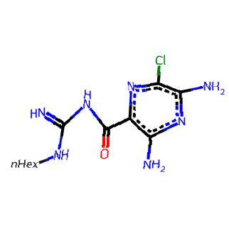 CCCCCCNC(=N)NC(=O)c1nc(Cl)c(N)nc1N